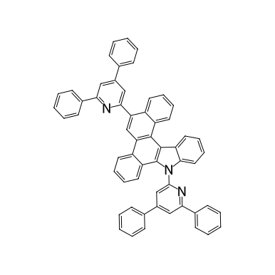 c1ccc(-c2cc(-c3ccccc3)nc(-c3cc4c5ccccc5c5c(c6ccccc6n5-c5cc(-c6ccccc6)cc(-c6ccccc6)n5)c4c4ccccc34)c2)cc1